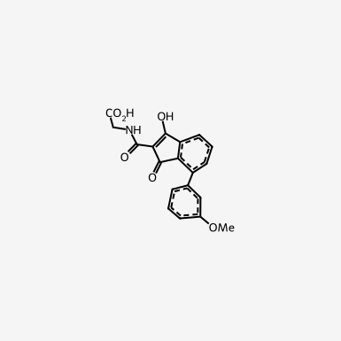 COc1cccc(-c2cccc3c2C(=O)C(C(=O)NCC(=O)O)=C3O)c1